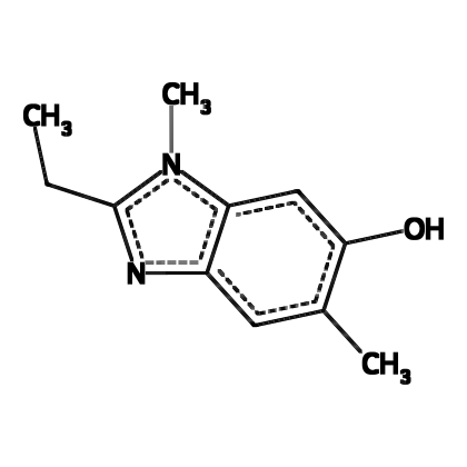 CCc1nc2cc(C)c(O)cc2n1C